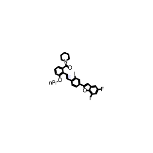 CCCOc1cccc(C(=O)N2CCCCC2)c1/C=C/c1ccc(-c2cc3cc(F)cc(I)c3o2)cc1I